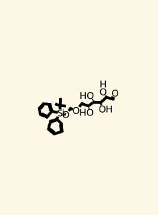 CC(C)(C)[Si](OCOC[C@@H](O)[C@H](O)[C@H](O)[C@@H](O)C=O)(c1ccccc1)c1ccccc1